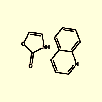 O=c1[nH]cco1.c1ccc2ncccc2c1